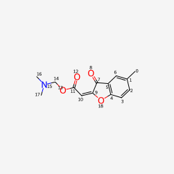 Cc1ccc2c(c1)C(=O)C(=CC(=O)OCN(C)C)O2